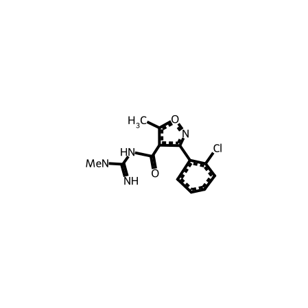 CNC(=N)NC(=O)c1c(-c2ccccc2Cl)noc1C